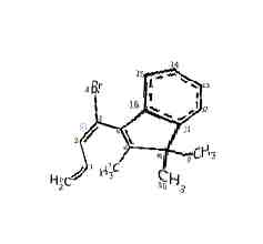 C=C/C=C(/Br)C1=C(C)C(C)(C)c2ccccc21